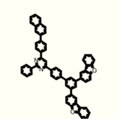 c1ccc(-c2nc(-c3ccc(-c4cc(-c5ccc6oc7ccccc7c6c5)cc(-c5ccc6oc7ccccc7c6c5)c4)cc3)cc(-c3ccc(-c4ccc5ccccc5c4)cc3)n2)cc1